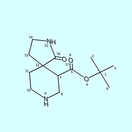 CC(C)(C)OC(=O)C1CNCCC12CCNC2=O